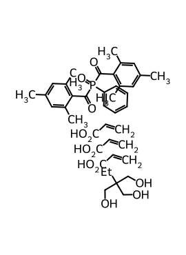 C=CC(=O)O.C=CC(=O)O.C=CC(=O)O.CCC(CO)(CO)CO.Cc1cc(C)c(C(=O)P(=O)(C(=O)c2c(C)cc(C)cc2C)c2ccccc2)c(C)c1